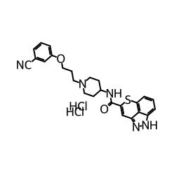 Cl.Cl.N#Cc1cccc(OCCCN2CCC(NC(=O)C3=Cc4n[nH]c5cccc(c45)S3)CC2)c1